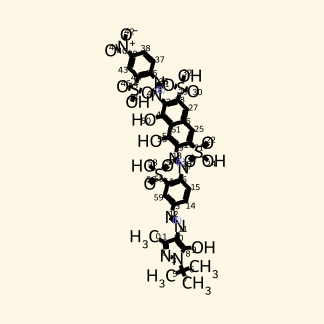 Cc1nn(C(C)(C)C)c(O)c1/N=N/c1ccc(/N=N/c2c(S(=O)(=O)O)cc3cc(S(=O)(=O)O)c(/N=N/c4ccc([N+](=O)[O-])cc4S(=O)(=O)O)c(O)c3c2O)c(S(=O)(=O)O)c1